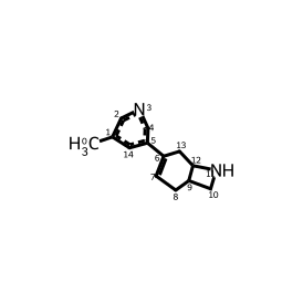 Cc1cncc(C2=CCC3CNC3C2)c1